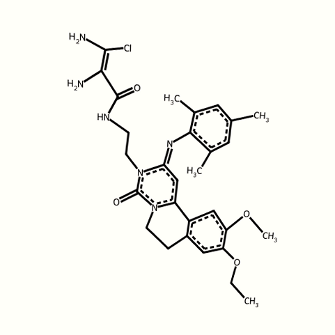 CCOc1cc2c(cc1OC)-c1c/c(=N\c3c(C)cc(C)cc3C)n(CCNC(=O)/C(N)=C(/N)Cl)c(=O)n1CC2